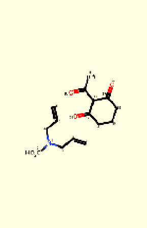 C=CCN(CC=C)C(=O)O.CCCC(=O)C1C(=O)CCCC1=O